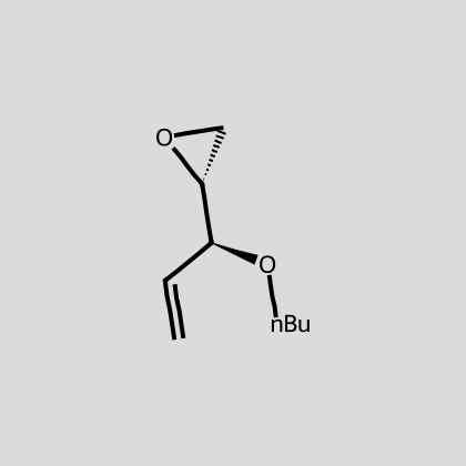 C=C[C@H](OCCCC)[C@H]1CO1